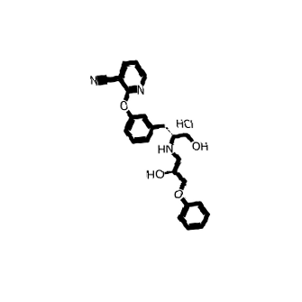 Cl.N#Cc1cccnc1Oc1cccc(C[C@H](CO)NC[C@H](O)COc2ccccc2)c1